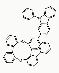 c1ccc(-c2cccc3c2-c2ccc(-c4ccc5c6ccccc6n(-c6ccccc6)c5c4)cc2Oc2ccccc2-c2ccccc2O3)cc1